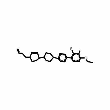 C=CCCC1C=CC(C2CCC(c3ccc(-c4ccc(OCC)c(F)c4F)cc3)CC2)CC1